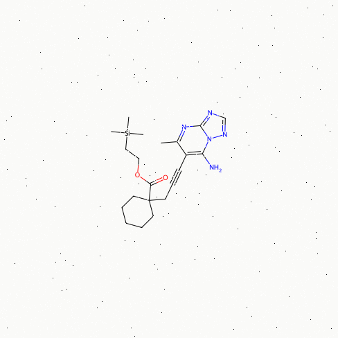 Cc1nc2ncnn2c(N)c1C#CCC1(C(=O)OCC[Si](C)(C)C)CCCCC1